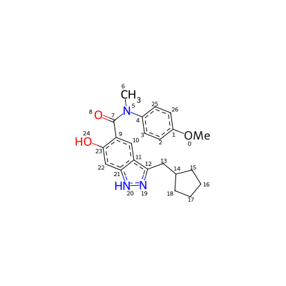 COc1ccc(N(C)C(=O)c2cc3c(CC4CCCC4)n[nH]c3cc2O)cc1